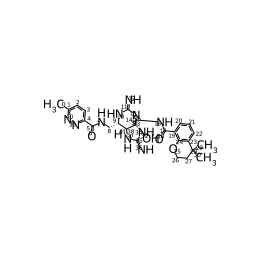 Cc1ccc(C(=O)NC[C@@H]2NC(=N)N3CC(NC(=O)c4cccc5c4OCCC5(C)C)[C@@H](O)[C@@]34NC(=N)N[C@@H]24)nn1